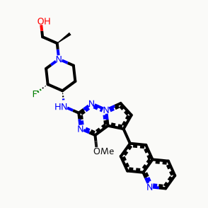 COc1nc(N[C@H]2CCN([C@H](C)CO)C[C@H]2F)nn2ccc(-c3ccc4ncccc4c3)c12